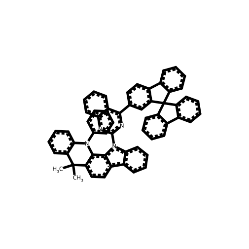 CC1(C)c2ccccc2N(c2ccccc2)c2c1ccc1c3ccccc3n(-c3nc(-c4ccc5c(c4)C4(c6ccccc6-c6ccccc64)c4ccccc4-5)c4ccccc4n3)c21